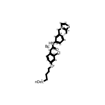 CCCCCCCCCCCCCCOc1ccc(CC(=O)Nc2cccc(C[n+]3ccsc3C)c2)c(Cl)c1.[Br-]